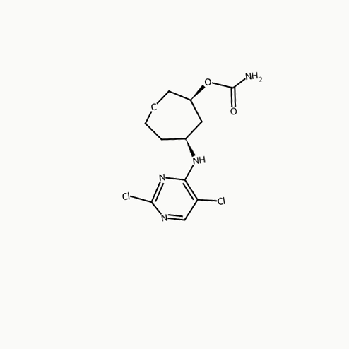 NC(=O)O[C@@H]1CCCC[C@H](Nc2nc(Cl)ncc2Cl)C1